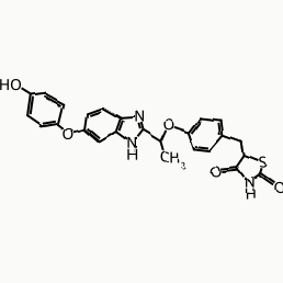 CC(Oc1ccc(CC2SC(=O)NC2=O)cc1)c1nc2ccc(Oc3ccc(O)cc3)cc2[nH]1